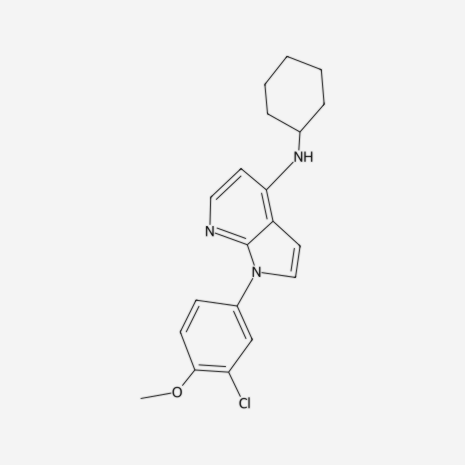 COc1ccc(-n2ccc3c(NC4CCCCC4)ccnc32)cc1Cl